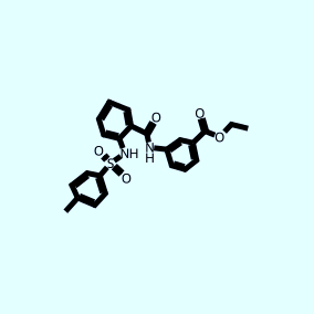 CCOC(=O)c1cccc(NC(=O)c2ccccc2NS(=O)(=O)c2ccc(C)cc2)c1